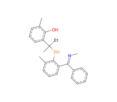 CCC(C)(Pc1c(C)cccc1/C(=N/C)c1ccccc1)c1cccc(C)c1O